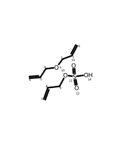 C=CCOCC=C.C=CCOS(=O)(=O)O